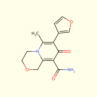 Cc1c(-c2ccoc2)c(=O)c(C(N)=O)c2n1CCOC2